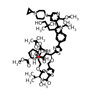 CCn1c(-c2cc(N3CCN(C4CC4)CC3)cnc2[C@H](C)OC)c(CC(C)(C)CO)c2cc(-c3csc([C@@H](OCc4csc(C(=O)N(C)[C@H](C(=O)OCC[Si](C)(C)C)C(C)C)n4)[C@H](NC(=O)OC(C)(C)C)C(=O)N4CCC[C@@H](C(=O)OC)N4)n3)ccc21